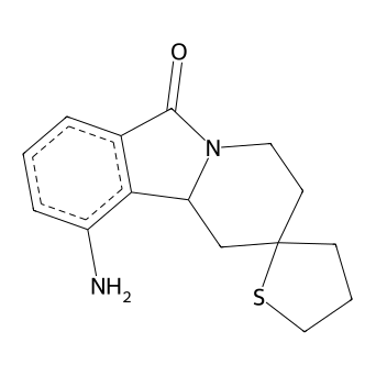 Nc1cccc2c1C1CC3(CCCS3)CCN1C2=O